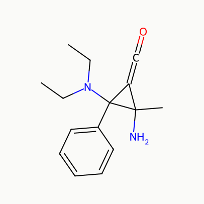 CCN(CC)C1(c2ccccc2)C(=C=O)C1(C)N